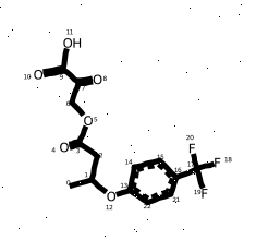 CC(CC(=O)OCC(=O)C(=O)O)Oc1ccc(C(F)(F)F)cc1